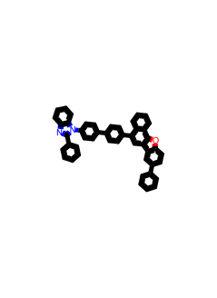 c1ccc(-c2ccc3oc4c5ccccc5c(-c5ccc(-c6ccc(-n7c(-c8ccccc8)nc8ccccc87)cc6)cc5)cc4c3c2)cc1